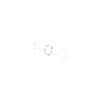 c1cc(C2CC2)ccc1[C]1CCCC1